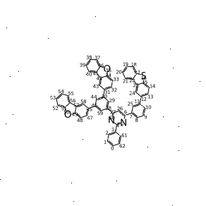 c1ccc(-c2nc(-c3cccc(-c4ccc5sc6ccccc6c5c4)c3)cc(-c3cc(-c4ccc5oc6ccccc6c5c4)cc(-c4ccc5oc6ccccc6c5c4)c3)n2)cc1